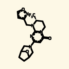 O=c1cc(N2CC3CCC(C2)O3)nc2n1CC[C@@H](C(F)(F)F)N2Cc1ccon1